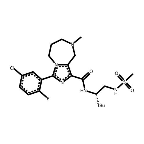 CN1CCCn2c(-c3cc(Cl)ccc3F)nc(C(=O)N[C@H](CNS(C)(=O)=O)C(C)(C)C)c2C1